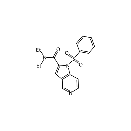 CCN(CC)C(=O)c1cc2cnccc2n1S(=O)(=O)c1ccccc1